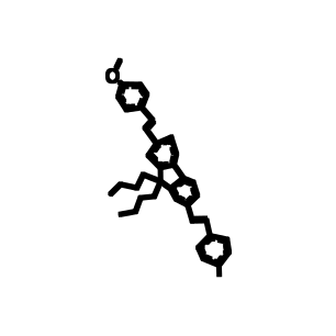 CCCCC1(CCCC)c2cc(/C=C/c3ccc(C)cc3)ccc2-c2ccc(/C=C/c3ccc(OC)cc3)cc21